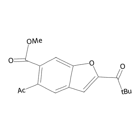 COC(=O)c1cc2oc(C(=O)C(C)(C)C)cc2cc1C(C)=O